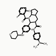 Cc1cccc(F)c1C(=O)N1C2CCCC2CC(C(=O)Nc2ccc(N(C)C)cc2)C1c1ccc(NC2CCOCC2)cc1